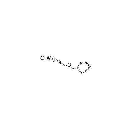 [Cl][Mg][CH2]C#CCOCc1ccccc1